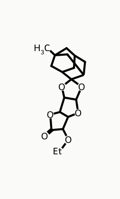 CCOC1C(=O)OC2C3OC4(OC3OC12)C1CC2CC4CC(C)(C2)C1